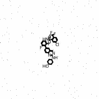 O=S(=O)(Nc1ccc(F)c(-c2ccc3nc(N[C@H]4CC[C@H](O)CC4)ncc3c2)c1F)c1cc(Cl)ccc1C(F)(F)F